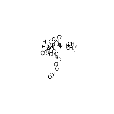 Cc1c(C(=O)N(c2ccccc2)c2cnn(CCN(C)C)c2)cc(-c2cc3c(cc2C(=O)N2Cc4ccccc4C[C@H]2C)CN(C(=O)Cc2ccc(OCCC4CCOCC4)cc2)CC3)n1C